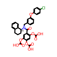 O=C(O)Oc1cc(OC(=O)O)c(C(=O)N(Cc2cccc(Oc3ccc(Cl)cc3)c2)[C@H]2CCCc3ccccc32)cc1OC(=O)O